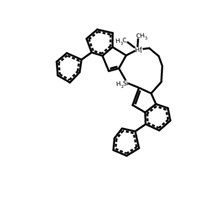 [CH3][Hf]1([CH3])[CH2]CCCC2C(=Cc3c(-c4ccccc4)cccc32)[SiH2]C2=Cc3c(-c4ccccc4)cccc3[CH]21